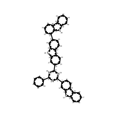 c1ccc(-c2nc(-c3ccc4c(c3)sc3ccccc34)nc(-c3ccc4c(c3)sc3cc(-c5cccc6c5sc5ccccc56)ccc34)n2)cc1